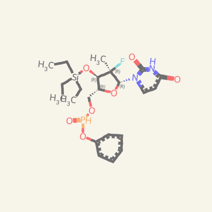 CC[Si](CC)(CC)O[C@@H]1[C@@H](CO[PH](=O)Oc2ccccc2)O[C@@H](n2ccc(=O)[nH]c2=O)[C@]1(C)F